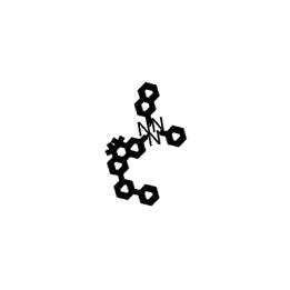 CC1(C)c2ccc(-c3cccc(-c4ccccc4)c3)cc2-c2ccc(-c3nc(-c4ccccc4)nc(-c4ccc5ccccc5c4)n3)cc2C1(C)C